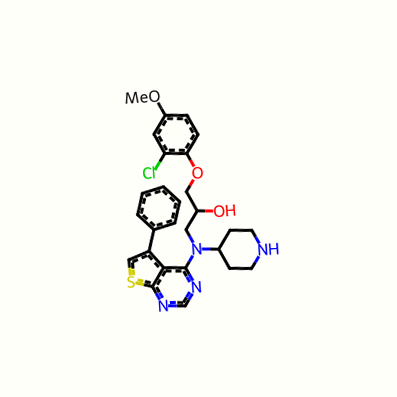 COc1ccc(OCC(O)CN(c2ncnc3scc(-c4ccccc4)c23)C2CCNCC2)c(Cl)c1